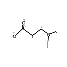 CN(I)CCC(=O)O